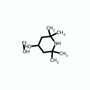 CC1(C)CC(O)CC(C)(C)N1.CCO